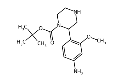 COc1cc(N)ccc1C1CNCCN1C(=O)OC(C)(C)C